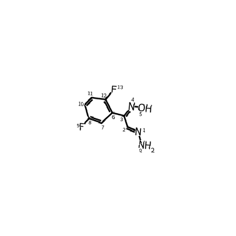 NN=CC(=NO)c1cc(F)ccc1F